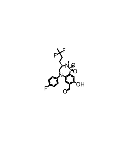 CN1[C@H](CCC(C)(F)F)CN(c2ccc(F)cc2)c2cc(C=O)c(O)cc2S1(=O)=O